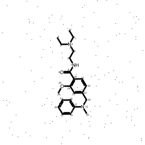 CCN(CC)CCNC(=O)c1ccc(CN(C)c2ccccc2)cc1OC